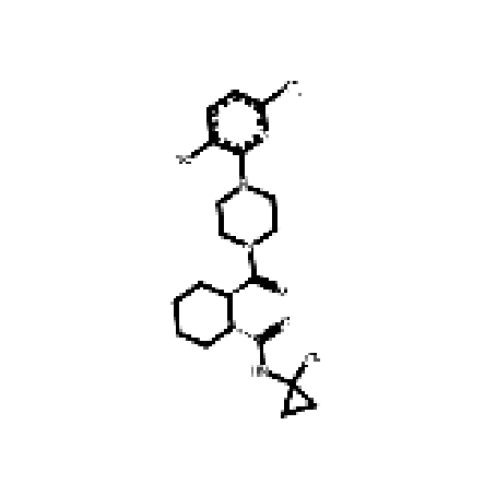 N#Cc1ccc(C(F)(F)F)nc1N1CCN(C(=O)[C@@H]2CCCC[C@H]2C(=O)NC2(C#N)CC2)CC1